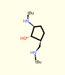 CC(C)(C)NC[C@@H]1CC[C@H](NC(C)(C)C)[C@H]1O